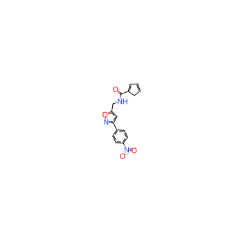 O=C(NCc1cc(-c2ccc([N+](=O)[O-])cc2)no1)C1=CC=CC1